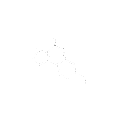 O=c1[nH]c2cc(CO)cnc2n2ccnc12